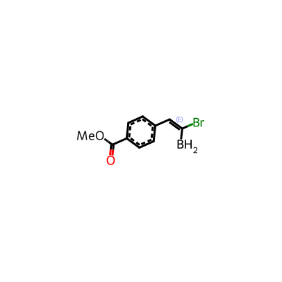 B/C(Br)=C\c1ccc(C(=O)OC)cc1